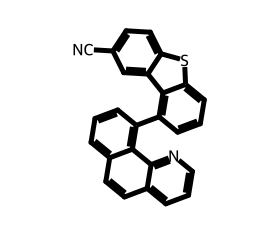 N#Cc1ccc2sc3cccc(-c4cccc5ccc6cccnc6c45)c3c2c1